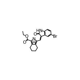 CCOC(=O)c1[nH]c(C=C2C(=O)Nc3ccc(Br)cc32)c2c1CCCC2